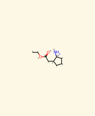 CCOC(=O)CC1CCCC1N